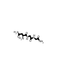 NC(=O)CNC(=O)CNC(=O)[C@@H](N)CC(N)=O